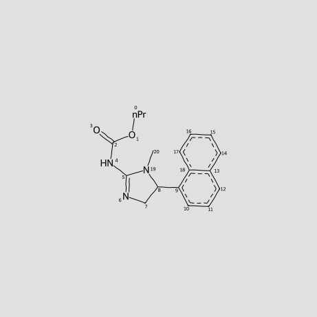 CCCOC(=O)NC1=NCC(c2cccc3ccccc23)N1C